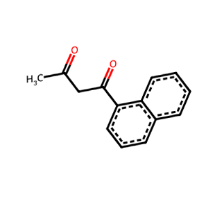 CC(=O)CC(=O)c1cccc2ccccc12